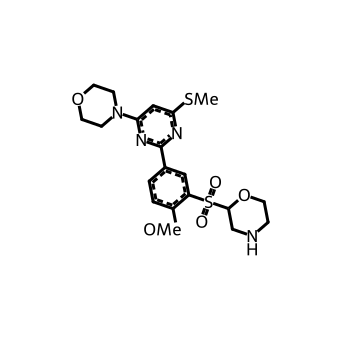 COc1ccc(-c2nc(SC)cc(N3CCOCC3)n2)cc1S(=O)(=O)C1CNCCO1